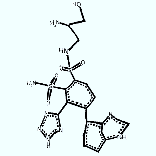 NC(CO)CNS(=O)(=O)c1ccc(-c2cccc3[nH]cnc23)c(-c2nn[nH]n2)c1S(N)(=O)=O